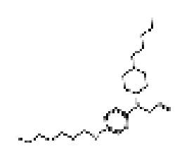 C=CCC(c1ccc(OCCCCCCC)cc1)[C@H]1CC[C@H](CCCCC)CC1